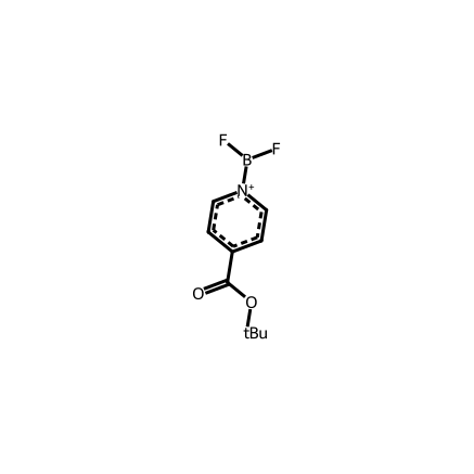 CC(C)(C)OC(=O)c1cc[n+](B(F)F)cc1